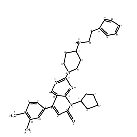 Cc1ccc(-c2cc(=O)n(C3CCCC3)c3nc(N4CCC(NCCc5ccccc5)CC4)ncc23)cc1C